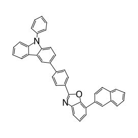 c1ccc(-n2c3ccccc3c3cc(-c4ccc(-c5nc6cccc(-c7ccc8ccccc8c7)c6o5)cc4)ccc32)cc1